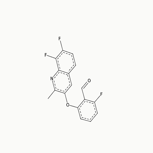 Cc1nc2c(F)c(F)ccc2cc1Oc1cccc(F)c1C=O